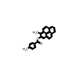 Cc1ccc(C(=O)Oc2cc3ccc4cccc5ccc(c2C)c3c45)cc1